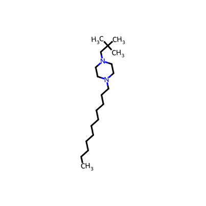 CCCCCCCCCCCN1CCN(CC(C)(C)C)CC1